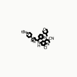 CC(C)(C)N1CCC(n2cc([C@@H](Nc3cc(Cl)c4ncc(C#N)c(NCC5CCOCC5)c4c3)c3ccccc3)nn2)CC1